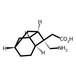 NC[C@@]1(CC(=O)O)[C@@H]2C[C@@H]3CC[C@H]1[C@H]2C3